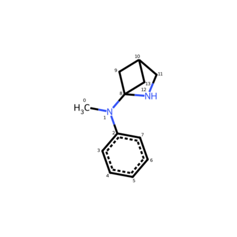 CN(c1ccccc1)C12CC(CN1)C2